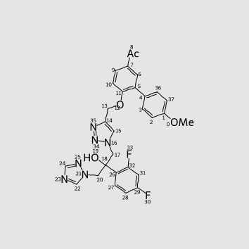 COc1ccc(-c2cc(C(C)=O)ccc2OCc2cn(CC(O)(Cn3cncn3)c3ccc(F)cc3F)nn2)cc1